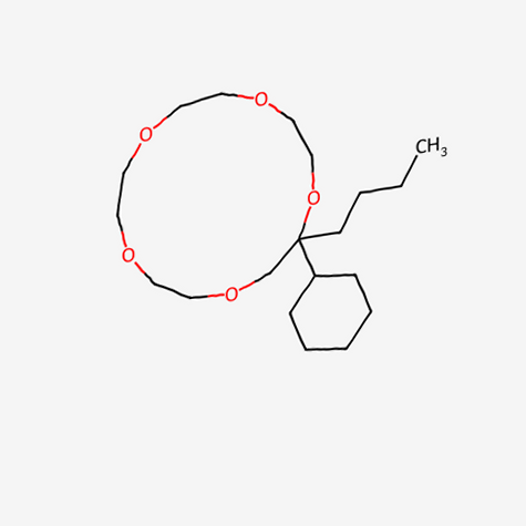 CCCCC1(C2CCCCC2)COCCOCCOCCOCCO1